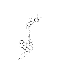 C=CCN1CCN(c2nc(=O)n(-c3c(C)ccc(CNC(=O)CCCCNc4cccc5c4C(=O)N(C4CCC(=O)NC4=O)C5=O)c3C)c3nc(-c4c(O)cccc4F)c(F)cc23)[C@@H](C)C1